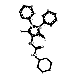 Cc1c(NC(=O)NC2CCCCC2)c(=O)n(-c2ccccc2)n1-c1ccccc1